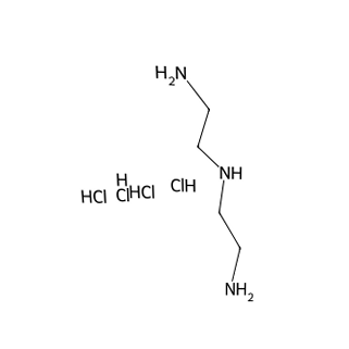 Cl.Cl.Cl.Cl.NCCNCCN